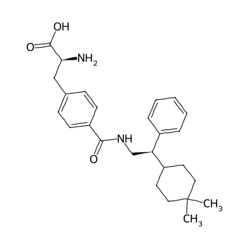 CC1(C)CCC([C@@H](CNC(=O)c2ccc(C[C@H](N)C(=O)O)cc2)c2ccccc2)CC1